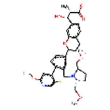 COCC1CC[C@H](COC)N1Cc1cc(C2CCc3ccc([C@H](O)[C@H](C)C(=O)O)cc3O2)ccc1-c1cc(OC)ncc1F